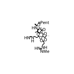 C=C(Nc1nc(=O)n([C@@H]2O[C@H](C)C(OC(=O)CCNC(=N)NC)C2OC(=O)CCNC=N)cc1C)OCCCCC